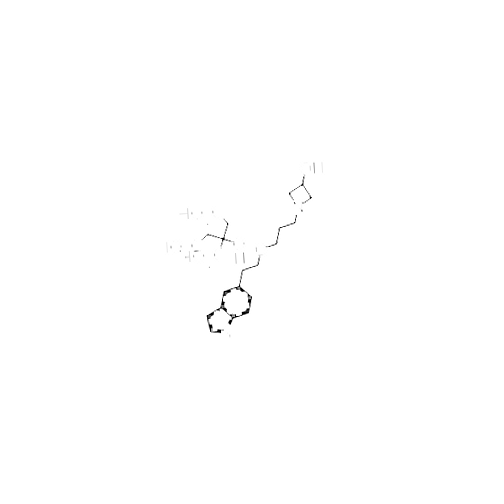 O=C(O)CC(O)(CC(=O)O)C(=O)O.OC1CN(CCCOCCc2ccc3sccc3c2)C1